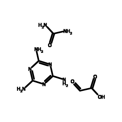 NC(N)=O.Nc1nc(N)nc(N)n1.O=CC(=O)O